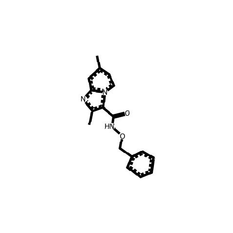 Cc1ccn2c(C(=O)NOCc3ccccc3)c(C)nc2c1